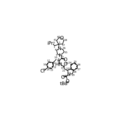 CC(C)CC1(N2CCN(C(=O)[C@@H](Cc3ccc(Cl)cc3)NC(=O)CC3c4ccccc4CN3C(=O)OC(C)(C)C)CC2)CCOCC1